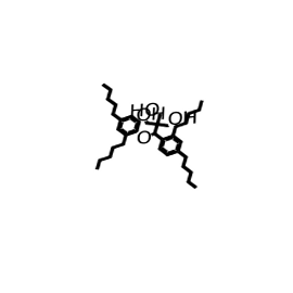 CCCCCc1ccc(OC(c2ccc(CCCCC)cc2CCCCC)C(CO)(CO)CO)c(CCCCC)c1